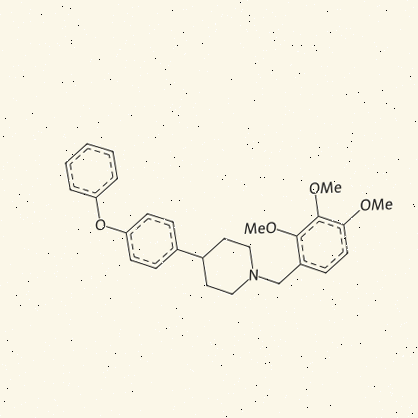 COc1ccc(CN2CCC(c3ccc(Oc4ccccc4)cc3)CC2)c(OC)c1OC